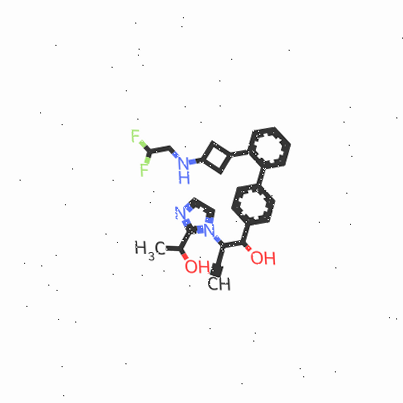 C#CC(C(O)c1ccc(-c2ccccc2C2CC(NCC(F)F)C2)cc1)n1ccnc1C(C)O